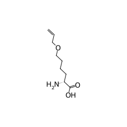 C=CCOCCCC[C@@H](N)C(=O)O